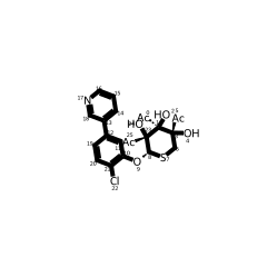 CC(=O)[C@]1(O)[C@@](O)(C(C)=O)CS[C@H](Oc2cc(-c3cccnc3)ccc2Cl)[C@@]1(O)C(C)=O